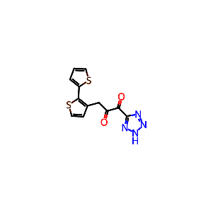 O=C(Cc1ccsc1-c1cccs1)C(=O)c1nn[nH]n1